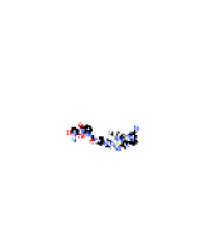 CC(C)Nc1cc(-c2ccc3cc(C#N)cnn23)ncc1-c1nnc(N2CCN(C3CCN(C(=O)CNc4cccc5c4C(=O)N(C4CCC(=O)NC4=O)C5=O)CC3)CC2)s1